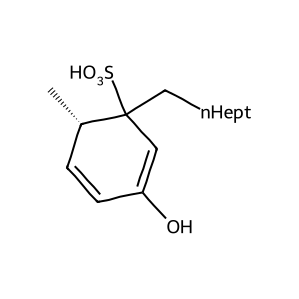 CCCCCCCCC1(S(=O)(=O)O)C=C(O)C=C[C@@H]1C